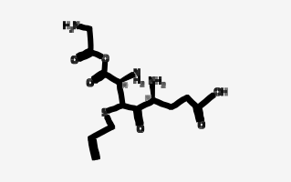 C=CCSC(C(=O)[C@@H](N)CCC(=O)O)[C@H](N)C(=O)OC(=O)CN